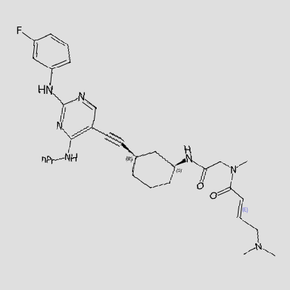 CCCNc1nc(Nc2cccc(F)c2)ncc1C#C[C@@H]1CCC[C@H](NC(=O)CN(C)C(=O)/C=C/CN(C)C)C1